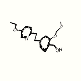 CCOc1ccc(CCc2ccc(CO)c(OCOC)c2)nc1